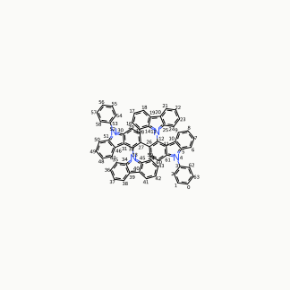 c1ccc(-n2c3ccccc3c3c(-n4c5ccccc5c5ccccc54)c(-c4ccc5c(c4-n4c6ccccc6c6ccccc64)c4ccccc4n5-c4ccccc4)ccc32)cc1